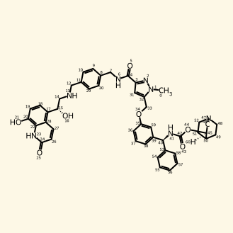 Cn1nc(C(=O)NCc2ccc(CNC[C@H](O)c3ccc(O)c4[nH]c(=O)ccc34)cc2)cc1COc1cccc([C@@H](NC(=O)O[C@H]2CN3CCC2CC3)c2ccccc2)c1